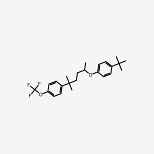 CC(CCC(C)(C)c1ccc(OC(F)(F)F)cc1)Oc1ccc(C(C)(C)C)cc1